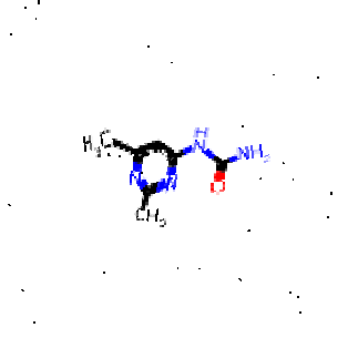 Cc1cc(NC(N)=O)nc(C)n1